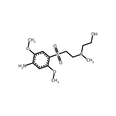 COc1cc(S(=O)(=O)CCN(C)CCO)c(OC)cc1N